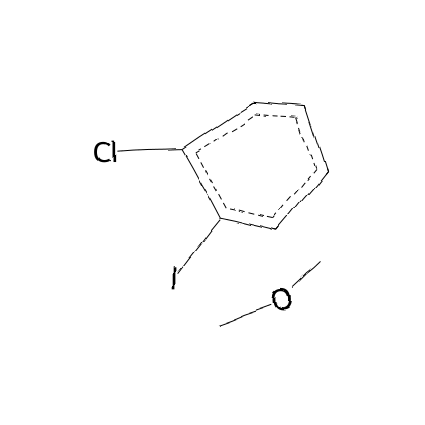 COC.Clc1ccccc1I